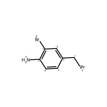 CC(C)Cc1ccc(N)c(Br)c1